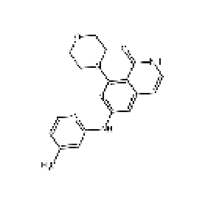 Cc1ccnc(Nc2cc3cc[nH]c(=O)c3c(N3CCOCC3)n2)c1